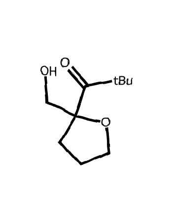 CC(C)(C)C(=O)C1(CO)CCCO1